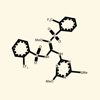 COc1nc(NC(NS(=O)(=O)c2ccccc2C(F)(F)F)=[N+](OC)S(=O)(=O)c2ccccc2C(F)(F)F)nc(SC)n1